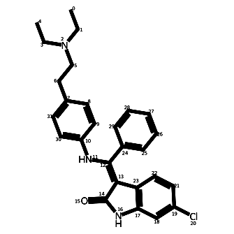 CCN(CC)CCc1ccc(N/C(=C2\C(=O)Nc3cc(Cl)ccc32)c2ccccc2)cc1